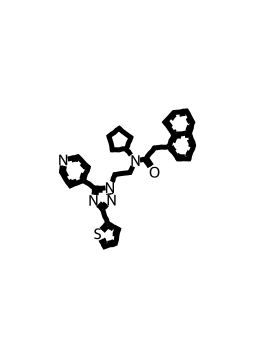 O=C(Cc1cccc2ccccc12)N(CCn1nc(-c2cccs2)nc1-c1ccncc1)C1CCCC1